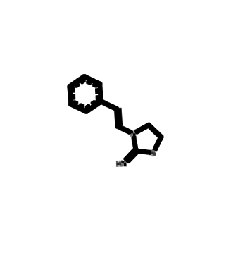 N=C1SCCN1/C=C/c1ccccc1